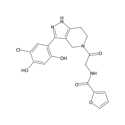 O=C(NCC(=O)N1CCc2[nH]nc(-c3cc(Cl)c(O)cc3O)c2C1)c1ccco1